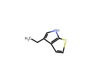 CCc1c[nH]c2sccc12